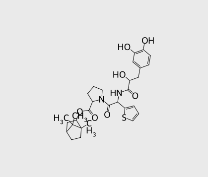 CC1(C)C2CCC1(C)C(OC(=O)C1CCCN1C(=O)C(NC(=O)C(O)Cc1ccc(O)c(O)c1)c1cccs1)C2